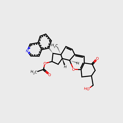 CC(=O)OC1C[C@H]2[C@@H]3OC4=C(C=C3C=C[C@]2(C)[C@H]1c1cccc2cnccc12)C(=O)CC(CO)C4